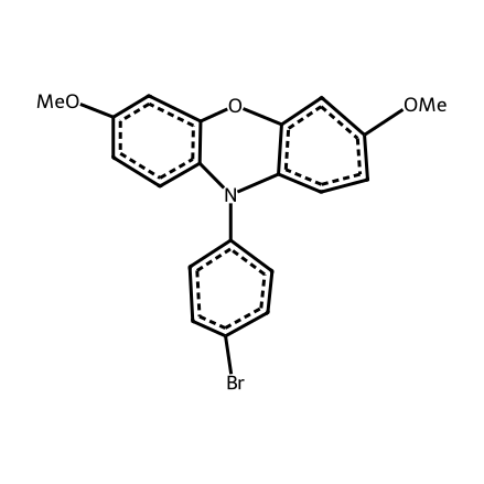 COc1ccc2c(c1)Oc1cc(OC)ccc1N2c1ccc(Br)cc1